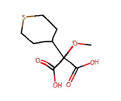 COC(C(=O)O)(C(=O)O)C1CCSCC1